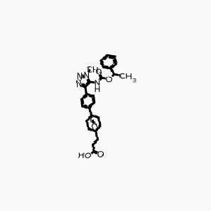 CC(OC(=O)Nc1c(-c2ccc(C34CCC(CCC(=O)O)(CC3)OC4)cc2)nnn1C)c1ccccc1